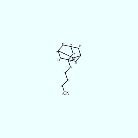 N#CCCCCC12CC3CC(CC(C3)C1)C2